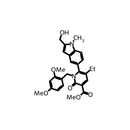 CCc1cc(C(=O)OC)c(=O)n(Cc2ccc(OC)cc2OC)c1-c1ccc2c(c1)cc(CO)n2C